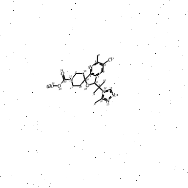 Cc1nc2c(cc1Cl)C(C(C)(C)n1cnnc1C)OC21CCN(C(=O)OC(C)(C)C)CC1